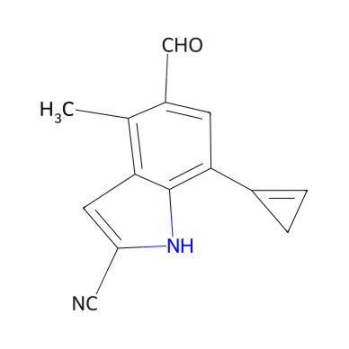 Cc1c(C=O)cc(C2=CC2)c2[nH]c(C#N)cc12